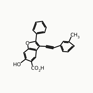 Cc1cccc(C#Cc2c(-c3ccccc3)oc3cc(O)c(C(=O)O)cc23)c1